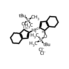 CC(C)(C)[Si](C)(C)O[C@@H]1[C]([Hf+2][C]2=CC3=C(CCCC3)[C@H]2O[Si](C)(C)C(C)(C)C)=CC2=C1CCCC2.[Cl-].[Cl-]